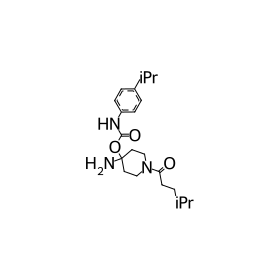 CC(C)CCC(=O)N1CCC(N)(OC(=O)Nc2ccc(C(C)C)cc2)CC1